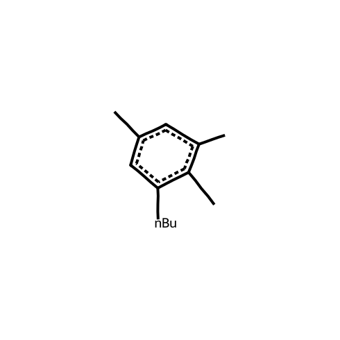 [CH2]CCCc1cc(C)cc(C)c1C